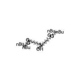 CCCCC(CCCC)CCOC(=O)CCCCCCCN(CCO)CCCCCCCC(=O)OCCC(CCCC)CCCC